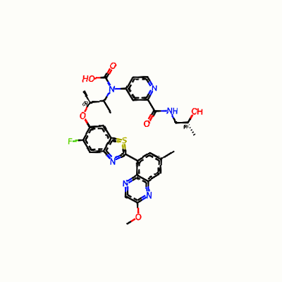 COc1cnc2c(-c3nc4cc(F)c(O[C@@H](C)C(C)N(C(=O)O)c5ccnc(C(=O)NC[C@@H](C)O)c5)cc4s3)cc(C)cc2n1